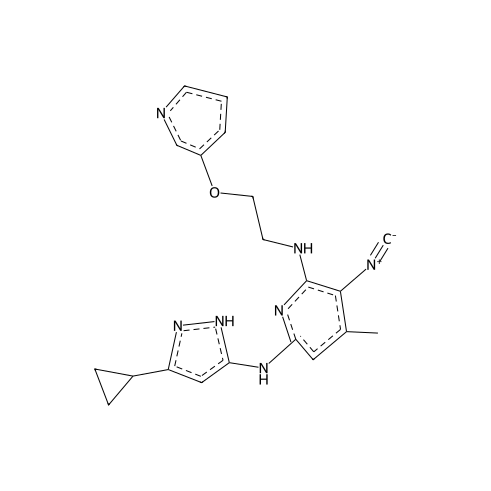 [C-]#[N+]c1c(C)cc(Nc2cc(C3CC3)n[nH]2)nc1NCCOc1cccnc1